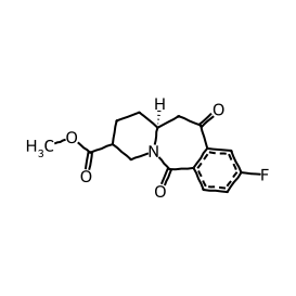 COC(=O)C1CC[C@H]2CC(=O)c3cc(F)ccc3C(=O)N2C1